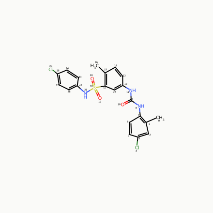 Cc1cc(Cl)ccc1NC(=O)Nc1ccc(C)c(S(=O)(=O)Nc2ccc(Cl)cc2)c1